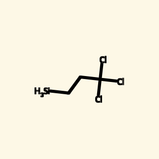 [SiH3]CCC(Cl)(Cl)Cl